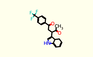 CC(=O)C(CC(=O)c1ccc(C(F)(F)F)cc1)C1=CNC2=CC=CCC21